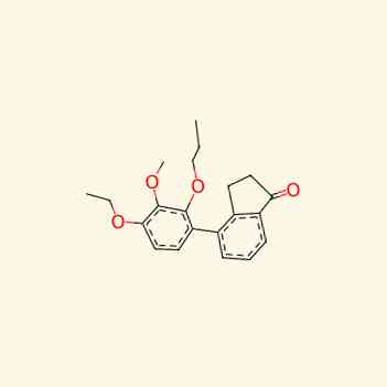 CCCOc1c(-c2cccc3c2CCC3=O)ccc(OCC)c1OC